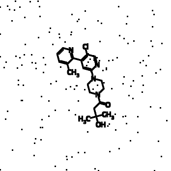 Cc1cccnc1-c1cc(N2CCN(C(=O)CC(C)(C)O)CC2)ncc1Cl